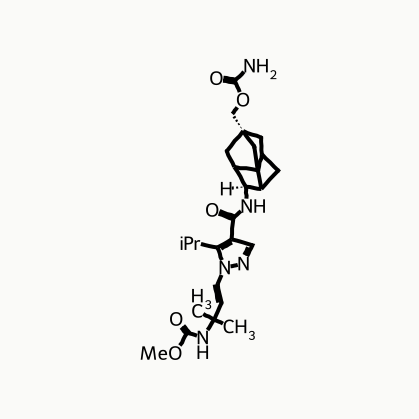 COC(=O)NC(C)(C)/C=C/n1ncc(C(=O)N[C@H]2C3CC4CC2C[C@](COC(N)=O)(C4)C3)c1C(C)C